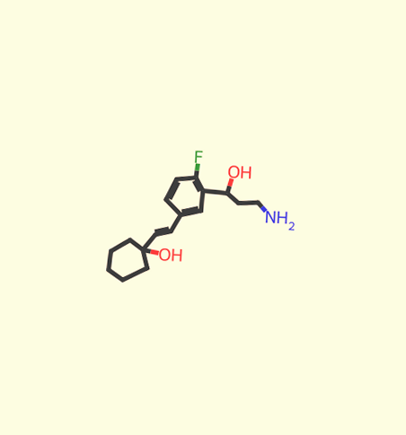 NCCC(O)c1cc(C=CC2(O)CCCCC2)ccc1F